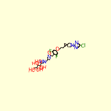 O=C(Cc1c(F)cc(OCCCC2CC23CCN(c2ncc(Cl)cn2)CC3)cc1F)N1CC(CNCC(O)C(O)C(O)C(O)CO)C1